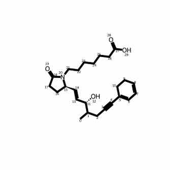 CC(CC#CC1=CC=CCC1)[C@@H](O)/C=C/[C@H]1CCC(=O)N1CCCCCCC(=O)O